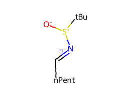 CCCCC/C=N/[S+]([O-])C(C)(C)C